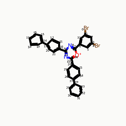 Brc1cc(Br)cc(-c2nc(-c3ccc(-c4ccccc4)cc3)nc(-c3ccc(-c4ccccc4)cc3)[o+]2)c1